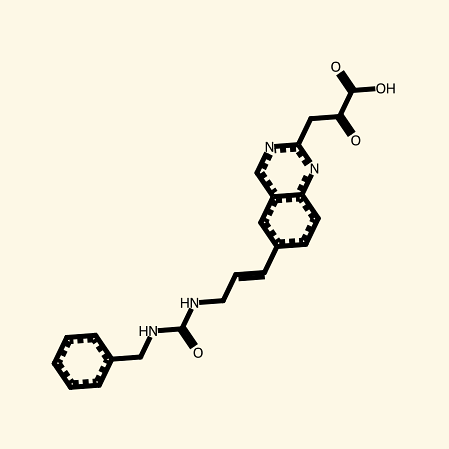 O=C(NCC=Cc1ccc2nc(CC(=O)C(=O)O)ncc2c1)NCc1ccccc1